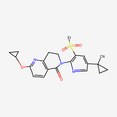 CCS(=O)(=O)c1cc(C2(C#N)CC2)cnc1N1CCc2nc(OC3CC3)ccc2C1=O